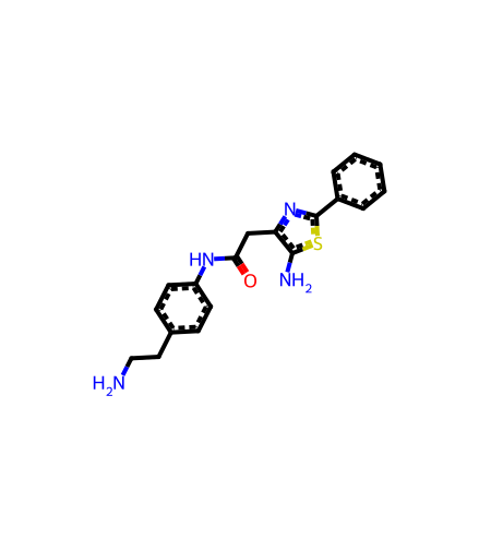 NCCc1ccc(NC(=O)Cc2nc(-c3ccccc3)sc2N)cc1